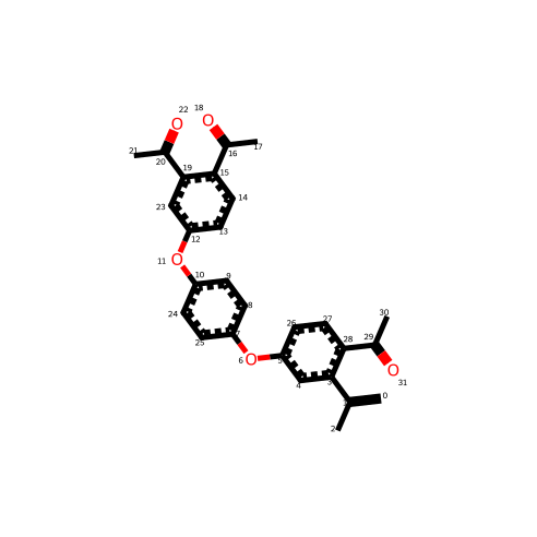 C=C(C)c1cc(Oc2ccc(Oc3ccc(C(C)=O)c(C(C)=O)c3)cc2)ccc1C(C)=O